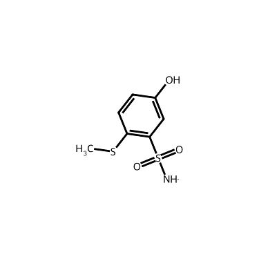 CSc1ccc(O)cc1S([NH])(=O)=O